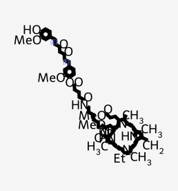 C=Cc1c(C)c2cc3nc(c(CC(=O)OC)c4[nH]c(cc5nc(cc1[nH]2)C(C)=C5CC)c(C)c4C(=O)NCCCCCCNC(=O)CCCC(=O)Oc1ccc(/C=C/C(=O)CC(=O)/C=C/c2ccc(O)c(OC)c2)cc1OC)C(CCC(=O)OC)C3C